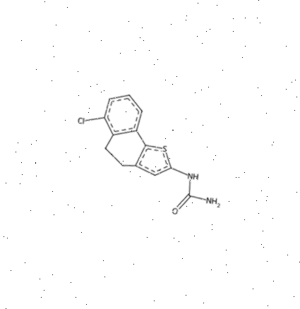 NC(=O)Nc1cc2c(s1)-c1cccc(Cl)c1CC2